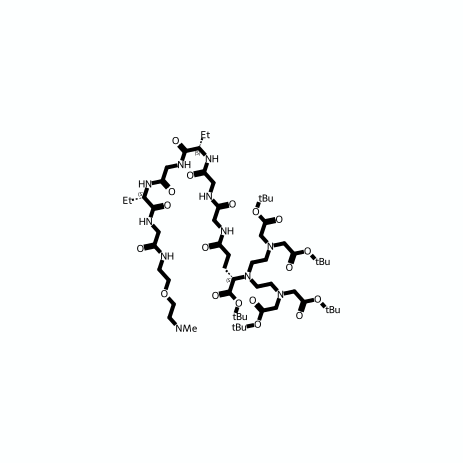 CC[C@H](NC(=O)CNC(=O)CNC(=O)CC[C@@H](C(=O)OC(C)(C)C)N(CCN(CC(=O)OC(C)(C)C)CC(=O)OC(C)(C)C)CCN(CC(=O)OC(C)(C)C)CC(=O)OC(C)(C)C)C(=O)NCC(=O)N[C@@H](CC)C(=O)NCC(=O)NCCOCCNC